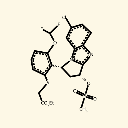 CCOC(=O)CSc1cccc(OC(F)F)c1[C@H]1C[C@@H](OS(C)(=O)=O)c2nc3ccc(Cl)cc3n21